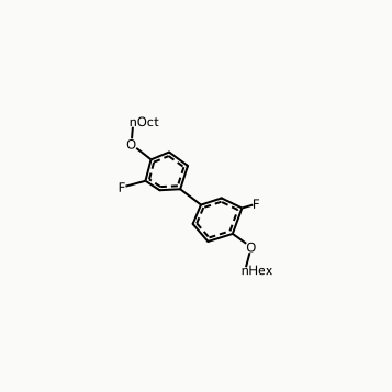 CCCCCCCCOc1ccc(-c2ccc(OCCCCCC)c(F)c2)cc1F